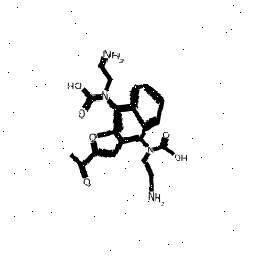 CC(=O)c1cc2c(N(CCN)C(=O)O)c3ccccc3c(N(CCN)C(=O)O)c2o1